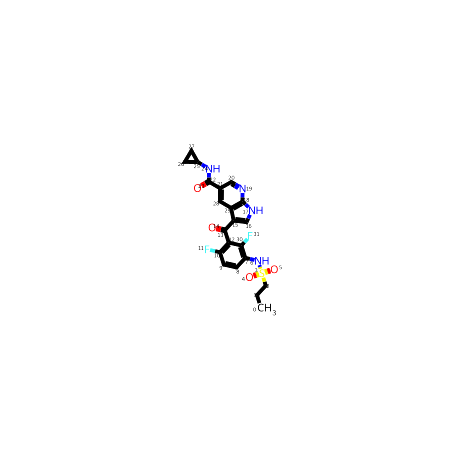 CCCS(=O)(=O)Nc1ccc(F)c(C(=O)c2c[nH]c3ncc(C(=O)NC4CC4)cc23)c1F